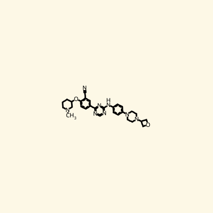 CN1CCCC(Oc2ccc(-c3ncnc(Nc4ccc(N5CCN(C6COC6)CC5)cc4)n3)cc2C#N)C1